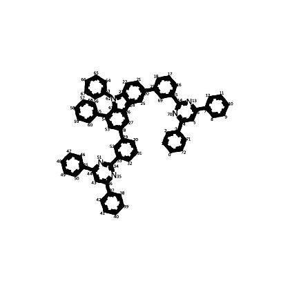 c1ccc(-c2cc(-c3ccccc3)nc(-c3cccc(-c4ccc5c(c4)c4cc(-c6cccc(-c7nc(-c8ccccc8)cc(-c8ccccc8)n7)c6)cc(-c6ccccc6)c4n5-c4ccccc4)c3)n2)cc1